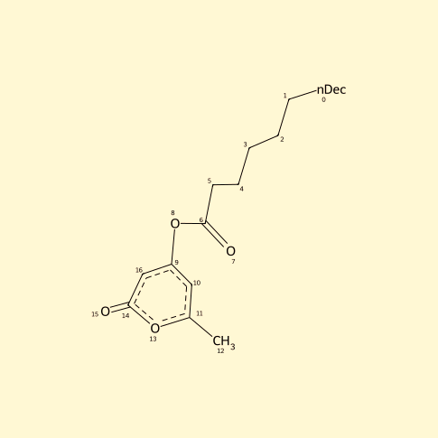 CCCCCCCCCCCCCCCC(=O)Oc1cc(C)oc(=O)c1